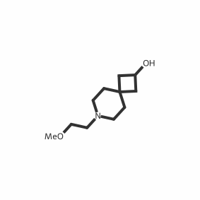 COCCN1CCC2(CC1)CC(O)C2